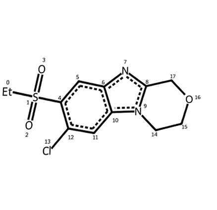 CCS(=O)(=O)c1cc2nc3n(c2cc1Cl)CCOC3